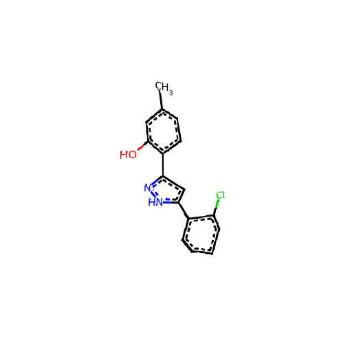 Cc1ccc(-c2cc(-c3ccccc3Cl)[nH]n2)c(O)c1